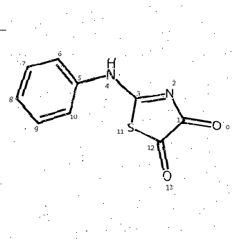 O=C1N=C(Nc2ccccc2)SC1=O